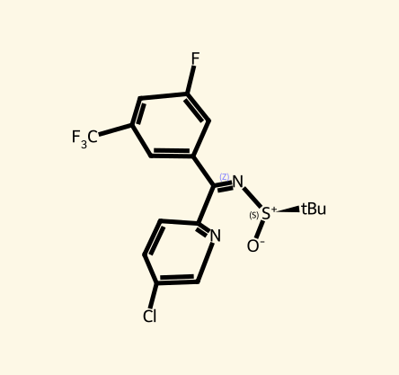 CC(C)(C)[S@@+]([O-])/N=C(/c1cc(F)cc(C(F)(F)F)c1)c1ccc(Cl)cn1